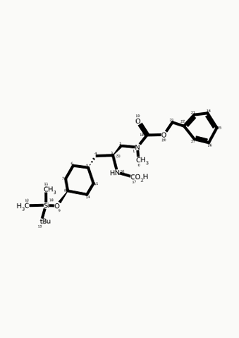 CN(C[C@H](C[C@H]1CC[C@H](O[Si](C)(C)C(C)(C)C)CC1)NC(=O)O)C(=O)OCc1ccccc1